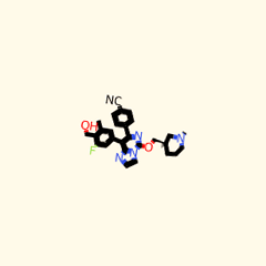 Cc1cc(-c2c(-c3ccc(C#N)cc3)nc(OC[C@@H]3CCCN(C)C3)n3ccnc23)cc(F)c1CO